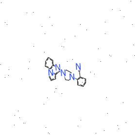 N#Cc1ccccc1N1CCN(c2nc3ccccc3n3cccc23)CC1